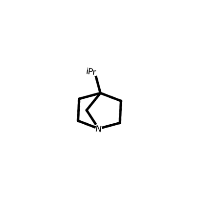 CC(C)C12CCN(CC1)C2